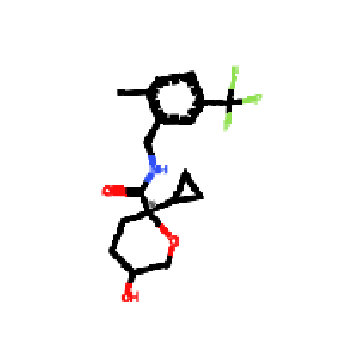 Cc1ccc(C(F)(F)F)cc1CNC(=O)[C@@]1(C2CC2)CCC(O)CO1